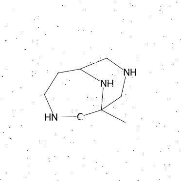 CC12CNCCC(CNC1)N2